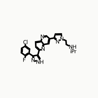 CC(C)NCCn1ccc(-c2cnc3ccc(-c4c[nH]nc4-c4cc(Cl)ccc4F)nc3c2)n1